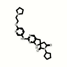 O=C1CC2(Cc3cnc(Nc4ccc(OCCN5CCCC5)nc4)nc3N2)C(=O)N1C1CCCC1